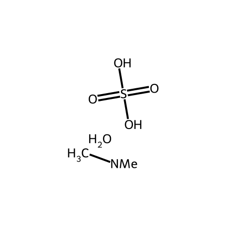 CNC.O.O=S(=O)(O)O